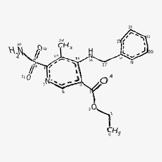 CCOC(=O)c1cnc(S(N)(=O)=O)c(C)c1NCc1ccccc1